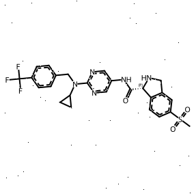 CS(=O)(=O)c1ccc2c(c1)CN[C@H]2C(=O)Nc1cnc(N(Cc2ccc(C(F)(F)F)cc2)C2CC2)nc1